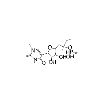 C=C1N(C)C=C(C2OC(CC(C)(CC)O[PH](=C)O)C(O)[C@H]2O)C(=O)N1C